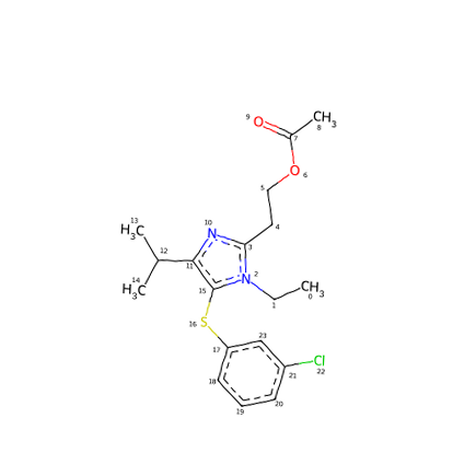 CCn1c(CCOC(C)=O)nc(C(C)C)c1Sc1cccc(Cl)c1